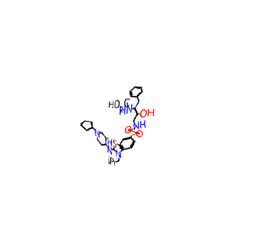 CC(C)CN1c2ccc(S(=O)(=O)NC[C@H](O)[C@H](Cc3ccccc3)NC(=O)O)cc2SC1NC1CCN(C2CCCC2)CC1